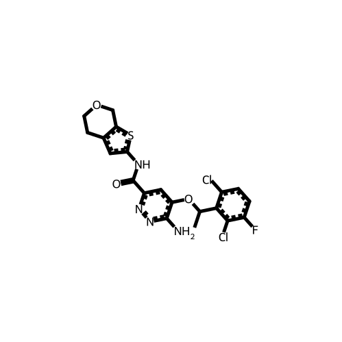 CC(Oc1cc(C(=O)Nc2cc3c(s2)COCC3)nnc1N)c1c(Cl)ccc(F)c1Cl